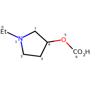 [CH2]CN1CCC(OC(=O)O)C1